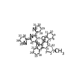 CC1C=Cc2c(c3c4ccccc4oc3c3c2c2ccccc2n3-c2cc(-c3ccccn3)nc(-c3ccccn3)c2)C1